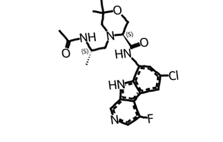 CC(=O)N[C@@H](C)CN1CC(C)(C)OC[C@H]1C(=O)Nc1cc(Cl)cc2c1[nH]c1cncc(F)c12